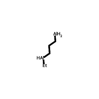 C[CH2][AlH][CH2]C[CH2][AlH2]